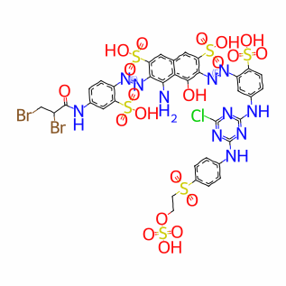 Nc1c(/N=N/c2ccc(NC(=O)C(Br)CBr)cc2S(=O)(=O)O)c(S(=O)(=O)O)cc2cc(S(=O)(=O)O)c(/N=N/c3cc(Nc4nc(Cl)nc(Nc5ccc(S(=O)(=O)CCOS(=O)(=O)O)cc5)n4)ccc3S(=O)(=O)O)c(O)c12